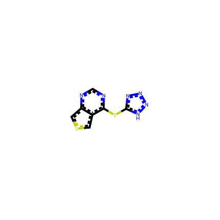 c1nc(Sc2nnn[nH]2)c2cscc2n1